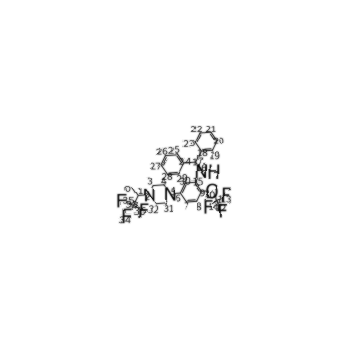 CC(N1CCN(c2ccc(OC(F)(F)F)c(NC(c3ccccc3)c3ccccc3)c2)CC1)C(F)(F)F